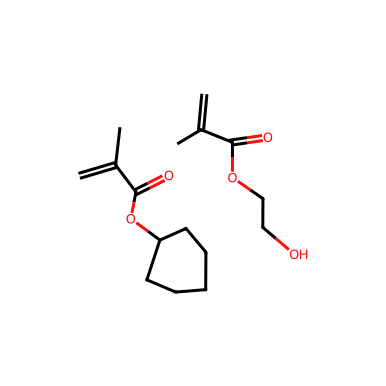 C=C(C)C(=O)OC1CCCCC1.C=C(C)C(=O)OCCO